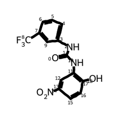 O=C(Nc1cccc(C(F)(F)F)c1)Nc1cc([N+](=O)[O-])ccc1O